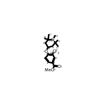 COC(=O)c1ccc(OC2CC(C)(C)N(C)C(C)(C)C2)c(C(F)(F)F)c1